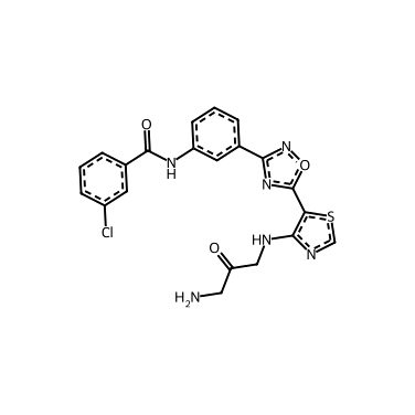 NCC(=O)CNc1ncsc1-c1nc(-c2cccc(NC(=O)c3cccc(Cl)c3)c2)no1